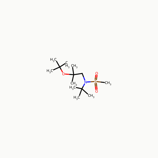 CC(C)(C)OC(C)(C)CN(C(C)(C)C)S(C)(=O)=O